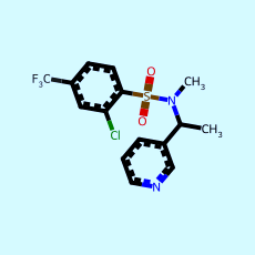 CC(c1cccnc1)N(C)S(=O)(=O)c1ccc(C(F)(F)F)cc1Cl